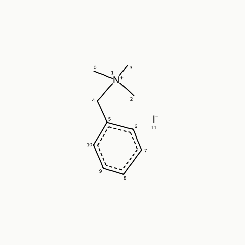 C[N+](C)(C)Cc1ccccc1.[I-]